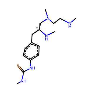 CNCCN(C)C[C@H](Cc1ccc(NC(=S)NC)cc1)NC